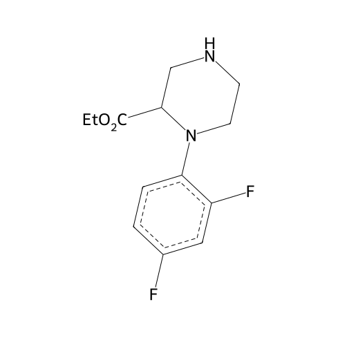 CCOC(=O)C1CNCCN1c1ccc(F)cc1F